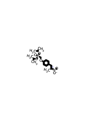 C/C(=C\c1ccc(OCP(=O)(OC(C)C)OC(C)C)cc1)[N+](=O)[O-]